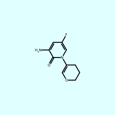 Nc1cc(F)cn(C2=COCCC2)c1=O